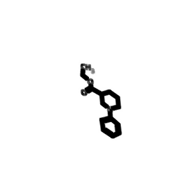 CCOC(=O)C1CCCN(c2ccccc2)C1